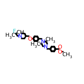 CCOC(=O)c1ccc(CN2C[C@@H](C)N(Cc3ccc(OCC4CCN(CC(C)(C)F)CC4)cc3)[C@@H](C)C2)cc1